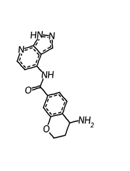 NC1CCOc2cc(C(=O)Nc3ccnc4[nH]ncc34)ccc21